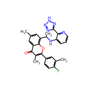 Cc1cc(C(C)Nc2cccnc2-c2nn[nH]n2)c2oc(-c3ccc(F)c(C)c3)c(C)c(=O)c2c1